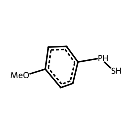 COc1ccc(PS)cc1